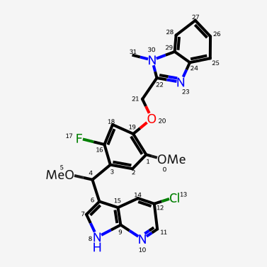 COc1cc(C(OC)c2c[nH]c3ncc(Cl)cc23)c(F)cc1OCc1nc2ccccc2n1C